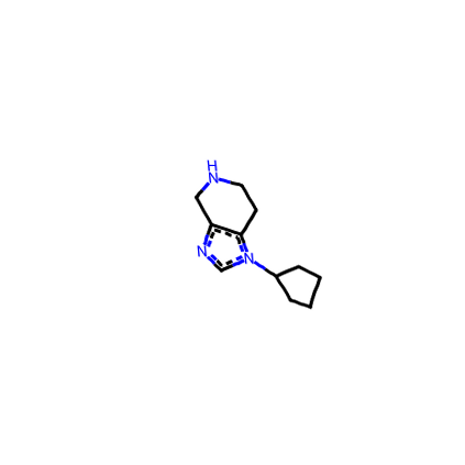 c1nc2c(n1C1CCCC1)CCNC2